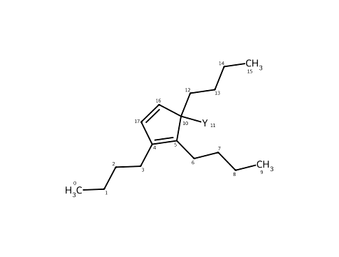 CCCCC1=C(CCCC)[C]([Y])(CCCC)C=C1